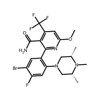 COc1cc(C(F)(F)F)c(C(N)=O)c(-c2cc(Br)c(F)cc2N2C[C@@H](C)N(C)[C@@H](C)C2)n1